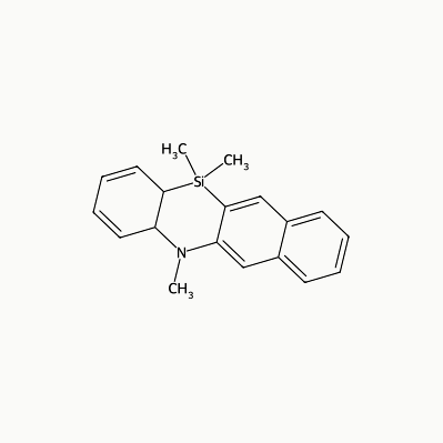 CN1c2cc3ccccc3cc2[Si](C)(C)C2C=CC=CC21